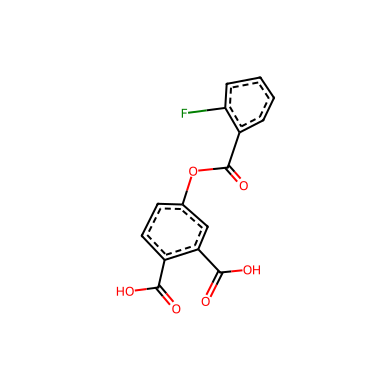 O=C(Oc1ccc(C(=O)O)c(C(=O)O)c1)c1ccccc1F